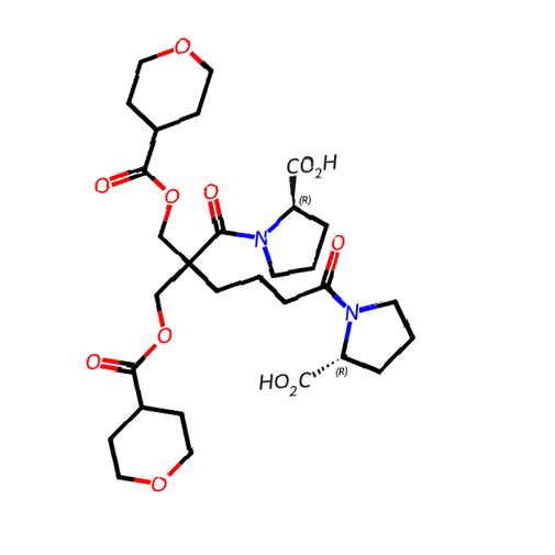 O=C(OCC(CCCC(=O)N1CCC[C@@H]1C(=O)O)(COC(=O)C1CCOCC1)C(=O)N1CCC[C@@H]1C(=O)O)C1CCOCC1